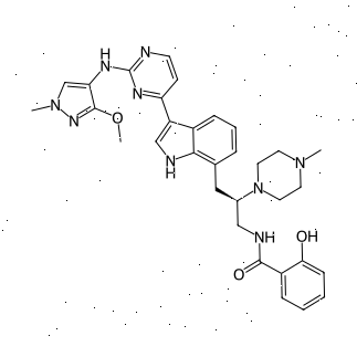 COc1nn(C)cc1Nc1nccc(-c2c[nH]c3c(C[C@H](CNC(=O)c4ccccc4O)N4CCN(C)CC4)cccc23)n1